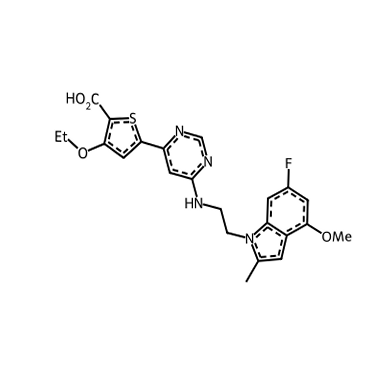 CCOc1cc(-c2cc(NCCn3c(C)cc4c(OC)cc(F)cc43)ncn2)sc1C(=O)O